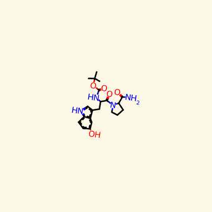 CC(C)(C)OC(=O)NC(Cc1c[nH]c2ccc(O)cc12)C(=O)N1CCCC1C(N)=O